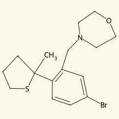 CC1(c2ccc(Br)cc2CN2CCOCC2)CCCS1